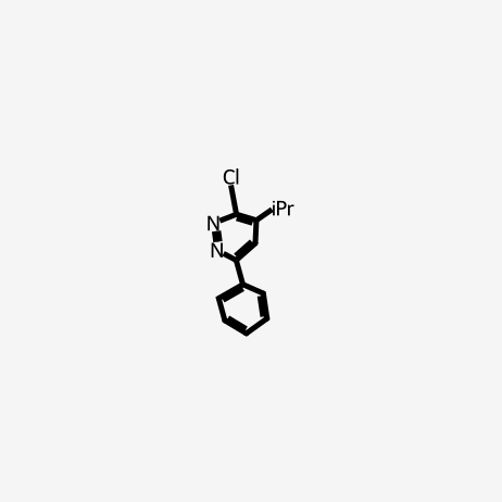 CC(C)c1cc(-c2ccccc2)nnc1Cl